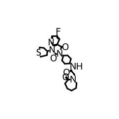 O=C(CN1CCCCCC1=O)N[C@H]1CC[C@@H](n2c(=O)c3cc(F)cnc3n(C3CCSCC3)c2=O)CC1